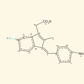 CC(=O)Nc1ccc(C=C2C(C)=C(CC(=O)O)c3cc(F)ccc32)cc1